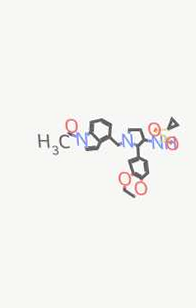 CC(=O)n1ccc2c(CN3CCC(NS(=O)(=O)C4CC4)C3c3ccc4c(c3)OCCO4)cccc21